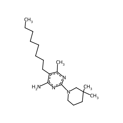 CCCCCCCCc1c(C)nc(N2CCCC(C)(C)C2)nc1N